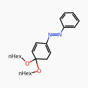 CCCCCCOC1(OCCCCCC)C=CC(N=Nc2ccccc2)=CC1